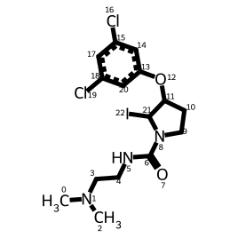 CN(C)CCNC(=O)N1CCC(Oc2cc(Cl)cc(Cl)c2)C1I